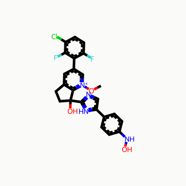 CO[n+]1cc(-c2c(F)ccc(Cl)c2F)cc2c1C(O)(c1ncc(-c3ccc(NO)cc3)[nH]1)CC2